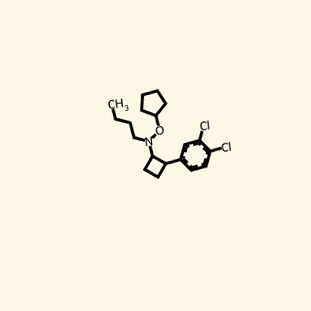 CCCCN(OC1CCCC1)C1CCC1c1ccc(Cl)c(Cl)c1